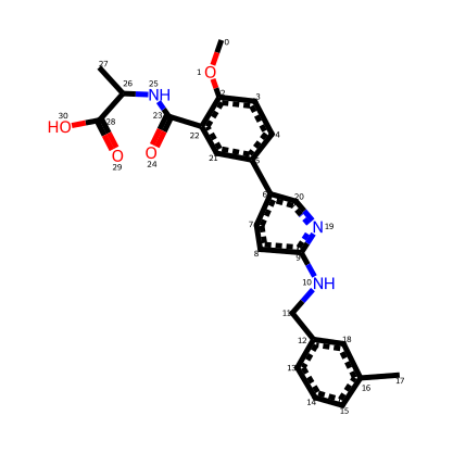 COc1ccc(-c2ccc(NCc3cccc(C)c3)nc2)cc1C(=O)NC(C)C(=O)O